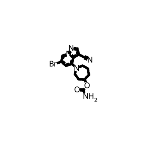 N#Cc1cnn2cc(Br)cc(N3CCCC(OC(N)=O)CC3)c12